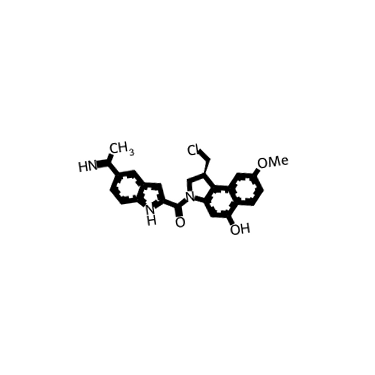 COc1ccc2c(O)cc3c(c2c1)[C@H](CCl)CN3C(=O)c1cc2cc(C(C)=N)ccc2[nH]1